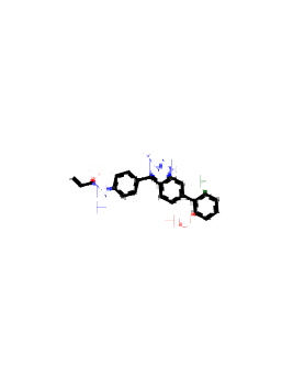 C=CC(=O)Nc1ccc(-c2c3ccc(-c4c(O)cccc4F)cc3nn2C)cc1